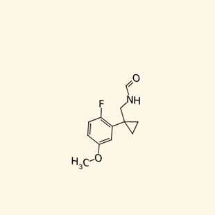 COc1ccc(F)c(C2(CNC=O)CC2)c1